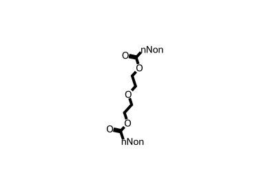 CCCCCCCCCC(=O)OCCOCCOC(=O)CCCCCCCCC